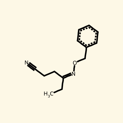 CCC(CCC#N)=NOCc1ccccc1